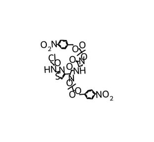 CC(C)(ON=C(C(=O)N[C@H]1CN(OC(C)(C)C(=O)OCc2ccc([N+](=O)[O-])cc2)C1=O)c1csc(NC(=O)CCl)n1)C(=O)OCc1ccc([N+](=O)[O-])cc1